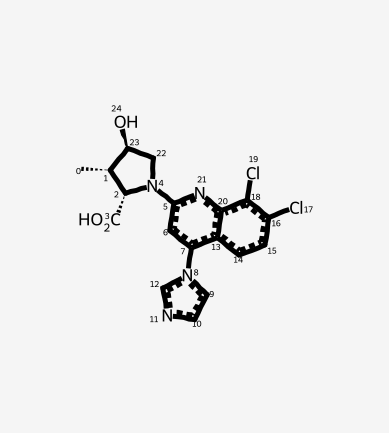 C[C@H]1[C@@H](C(=O)O)N(c2cc(-n3ccnc3)c3ccc(Cl)c(Cl)c3n2)C[C@@H]1O